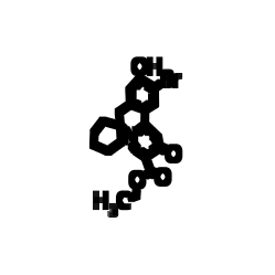 CCOC(=O)c1cn2c(cc1=O)-c1cc(Br)c(O)cc1CC21CCCCC1